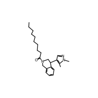 CCCCCCCCCC(=O)N1Cc2ccccc2C(c2cnn(C)c2C)C1